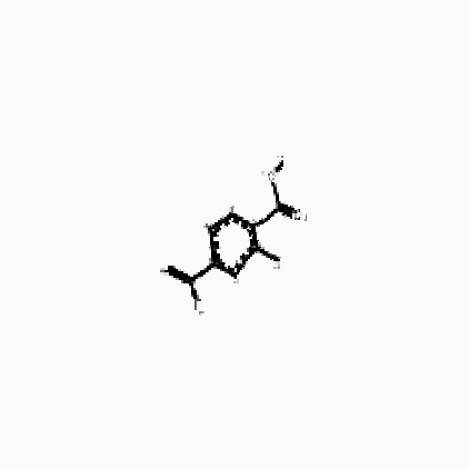 C=C(F)c1ccc(C(=O)OC)c(C)c1